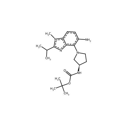 CC(C)c1nc2c(N3CC[C@@H](NC(=O)OC(C)(C)C)C3)c(N)ccc2n1C